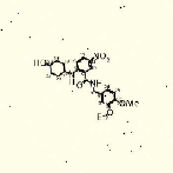 CCOc1cc(CNC(=O)c2cc([N+](=O)[O-])ccc2NC2CCC(O)CC2)ccc1OC